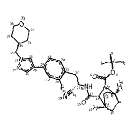 CC(C)(C)OC(=O)N1[C@@H]2CC[C@@H](C2)[C@H]1C(=O)N[C@H](C#N)Cc1ccc(-c2cnn(CC3CCOCC3)c2)cc1F